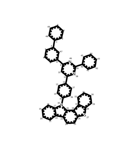 c1ccc(-c2cccc(-c3cc(-c4ccc(-n5c6ccccc6c6ccc7sc8ccccc8c7c65)cc4)nc(-c4ccccc4)n3)c2)cc1